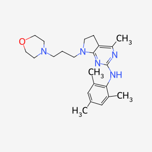 Cc1cc(C)c(Nc2nc(C)c3c(n2)N(CCCN2CCOCC2)CC3)c(C)c1